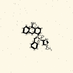 Cn1cnc(S(=O)(=O)N(Cc2ccccc2)c2cccc(C(N)=O)c2Cc2ccccc2)c1